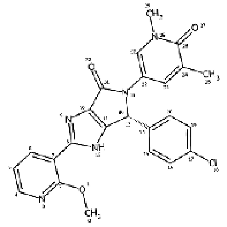 COc1ncccc1-c1nc2c([nH]1)[C@@H](c1ccc(Cl)cc1)N(c1cc(C)c(=O)n(C)c1)C2=O